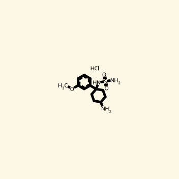 COc1cccc(C2(NS(N)(=O)=O)CCC(N)CC2)c1.Cl